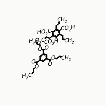 C=CCOC(=O)c1cc(C(=O)OCC=C)cc(C(=O)OCC=C)c1.C=CCc1c(C(=O)O)c(CC=C)c(C(=O)O)c(CC=C)c1C(=O)O